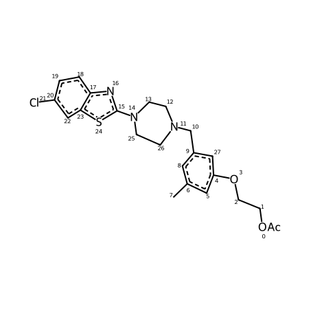 CC(=O)OCCOc1cc(C)cc(CN2CCN(c3nc4ccc(Cl)cc4s3)CC2)c1